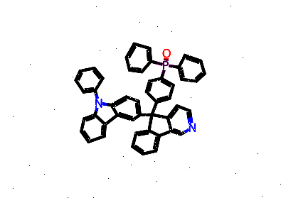 O=P(c1ccccc1)(c1ccccc1)c1ccc(C2(c3ccc4c(c3)c3ccccc3n4-c3ccccc3)c3ccccc3-c3cnccc32)cc1